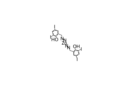 Oc1c(I)cc(I)cc1C/N=[N]/[Zn]/[N]=N/Cc1cc(I)cc(I)c1O